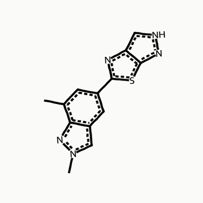 Cc1cc(-c2nc3c[nH]nc3s2)cc2cn(C)nc12